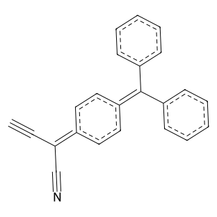 C#CC(C#N)=c1ccc(=C(c2ccccc2)c2ccccc2)cc1